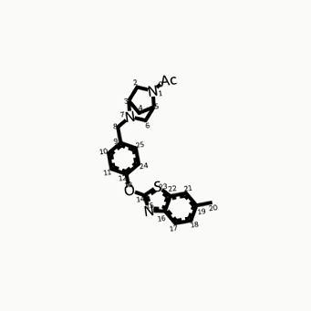 CC(=O)N1CC2CC1CN2Cc1ccc(Oc2nc3ccc(C)cc3s2)cc1